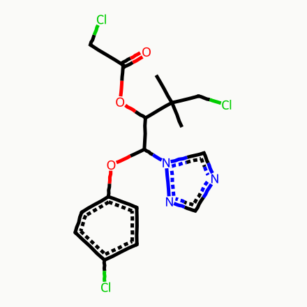 CC(C)(CCl)C(OC(=O)CCl)C(Oc1ccc(Cl)cc1)n1cncn1